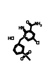 CS(=O)(=O)c1cccc(Cn2cc(Cl)cc(C(N)=O)c2=N)c1.Cl